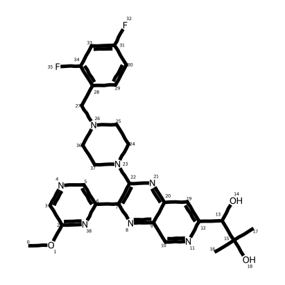 COc1cncc(-c2nc3cnc(C(O)C(C)(C)O)cc3nc2N2CCN(Cc3ccc(F)cc3F)CC2)n1